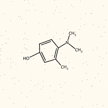 Cc1cc(O)ccc1N(C)C